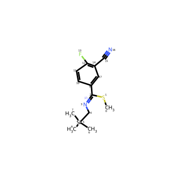 CS/C(=N\C[Si](C)(C)C)c1ccc(F)c(C#N)c1